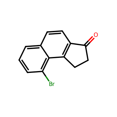 O=C1CCc2c1ccc1cccc(Br)c21